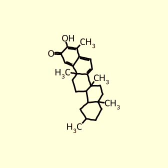 CC1=C(O)C(=O)C=C2C1=CC=C1C2(C)CCC2C3CC(C)CCC3(C)CCC12C